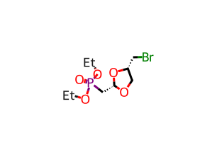 CCOP(=O)(C[C@H]1OC[C@@H](CBr)O1)OCC